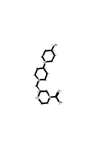 CC(C)C(=O)N1CCO[C@@H](CN2CCC(N3CCC(C(C)C)CC3)CC2)C1